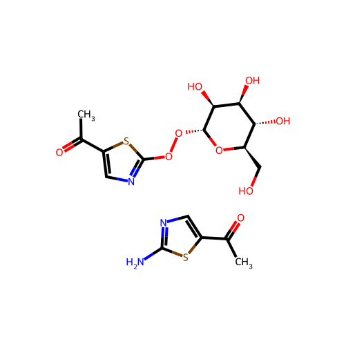 CC(=O)c1cnc(N)s1.CC(=O)c1cnc(OO[C@H]2O[C@H](CO)[C@@H](O)[C@H](O)[C@@H]2O)s1